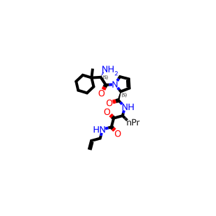 C=CCNC(=O)C(=O)C(CCC)NC(=O)[C@@H]1C=CCN1C(=O)[C@@H](N)C1(C)CCCCC1